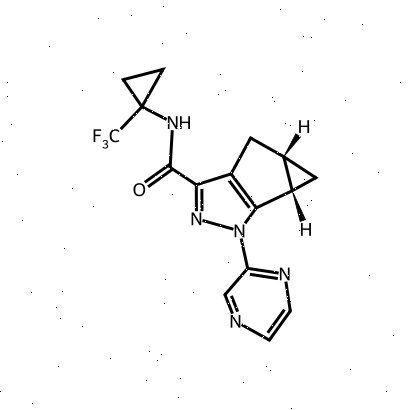 O=C(NC1(C(F)(F)F)CC1)c1nn(-c2cnccn2)c2c1C[C@@H]1C[C@H]21